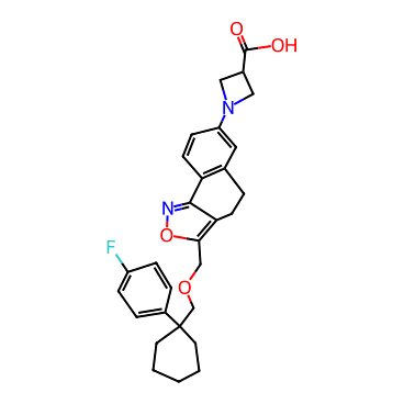 O=C(O)C1CN(c2ccc3c(c2)CCc2c-3noc2COCC2(c3ccc(F)cc3)CCCCC2)C1